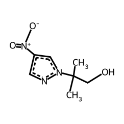 CC(C)(CO)n1cc([N+](=O)[O-])cn1